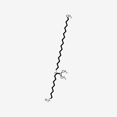 CCCCCCCCCCCCCCCCCCC[C@@H](CCCCCCCCC)N(C)C